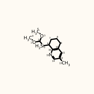 COC(OC)[SiH2]C1CCCc2cc(C)cnc21